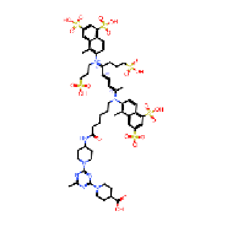 C\C(=C/C=C/C(CCCS(=O)(=O)O)=[N+](\CCCS(=O)(=O)O)c1ccc2c(S(=O)(=O)O)cc(S(=O)(=O)O)cc2c1C)N(CCCCCC(=O)NC1CCN(c2nc(C)nc(N3CCC(C(=O)O)CC3)n2)CC1)c1ccc2c(S(=O)(=O)O)cc(S(=O)(=O)O)cc2c1C